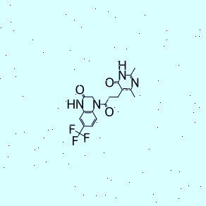 Cc1nc(C)c(CCC(=O)N2CC(=O)Nc3cc(C(F)(F)F)ccc32)c(=O)[nH]1